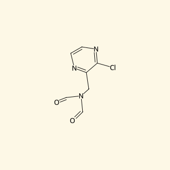 O=CN(C=O)Cc1nccnc1Cl